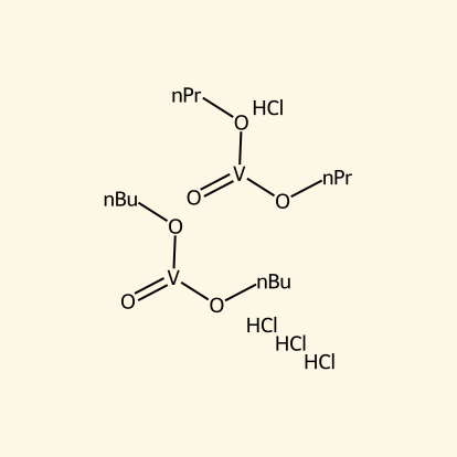 CCCC[O][V](=[O])[O]CCCC.CCC[O][V](=[O])[O]CCC.Cl.Cl.Cl.Cl